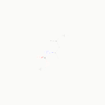 [CH2]C(CC(C)C=O)NC(=O)OC(C)(C)C